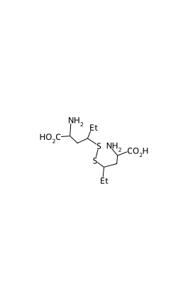 CCC(CC(N)C(=O)O)SSC(CC)CC(N)C(=O)O